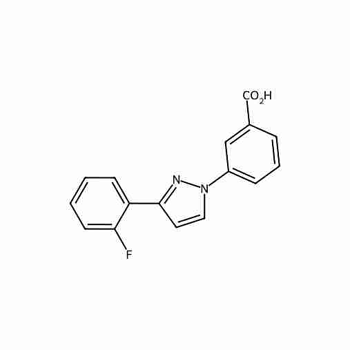 O=C(O)c1cccc(-n2ccc(-c3ccccc3F)n2)c1